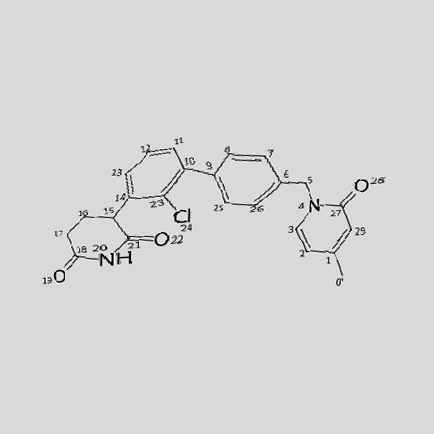 Cc1ccn(Cc2ccc(-c3cccc(C4CCC(=O)NC4=O)c3Cl)cc2)c(=O)c1